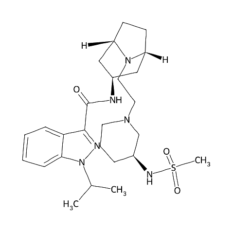 CC(C)n1nc(C(=O)N[C@@H]2C[C@H]3CC[C@@H](C2)N3CCN2CCC[C@H](NS(C)(=O)=O)C2)c2ccccc21